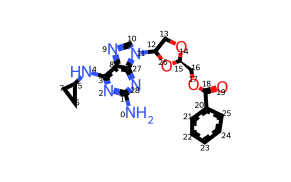 Nc1nc(NC2CC2)c2ncn(C3CO[C@@H](COC(=O)c4ccccc4)O3)c2n1